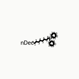 CCCCCCCCCCCCCCCCCCP(c1ccccc1)c1ccccc1